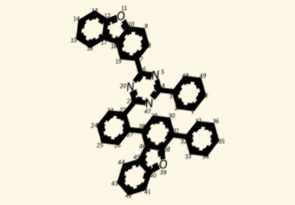 c1ccc(-c2nc(-c3ccc4oc5ccccc5c4c3)nc(-c3ccccc3-c3ccc(-c4ccccc4)c4oc5ccccc5c34)n2)cc1